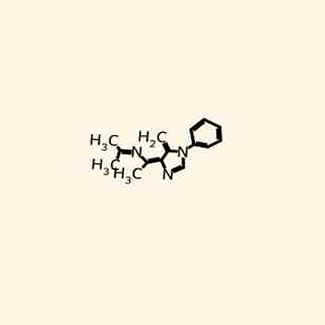 C=c1/c(=C(/C)N=C(C)C)ncn1-c1ccccc1